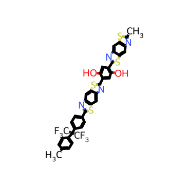 Cc1ccc(C(c2ccc(-c3nc4cc5sc(-c6cc(O)c(-c7nc8cc9sc(C)nc9cc8s7)cc6O)nc5cc4s3)cc2)(C(F)(F)F)C(F)(F)F)cc1